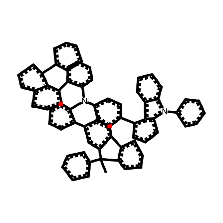 CC1(c2ccccc2)c2ccccc2-c2ccc(-c3ccccc3N(c3ccc(-c4cccc5c4c4ccccc4n5-c4ccccc4)cc3)c3ccccc3-c3cccc4cccc(-c5ccccc5)c34)cc21